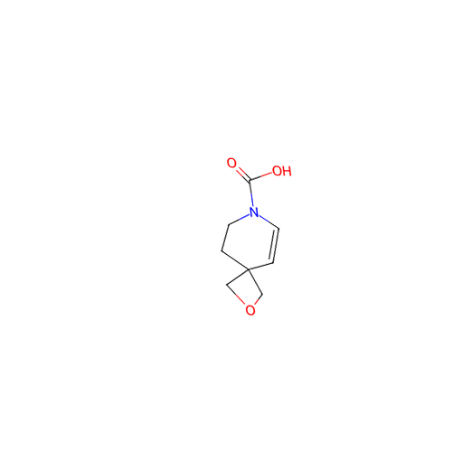 O=C(O)N1C=CC2(CC1)COC2